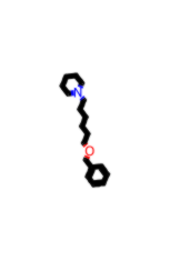 c1ccc(COCCCCCCN2CCCCC2)cc1